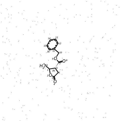 NC1OC(=O)C[C@H]1C(=O)OCc1ccccc1